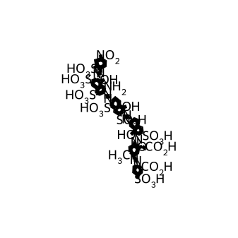 Cc1cc(N=Nc2c(S(=O)(=O)O)cc3ccc(N=Nc4c(S(=O)(=O)O)cc5c(S(=O)(=O)O)c(N=Nc6cc(S(=O)(=O)O)c7cc(S(=O)(=O)O)c(N=Nc8ccc([N+](=O)[O-])cc8S(=O)(=O)O)c(O)c7c6N)ccc5c4O)cc3c2O)c(OCC(=O)O)cc1N=Nc1ccc(S(=O)(=O)O)cc1C(=O)O